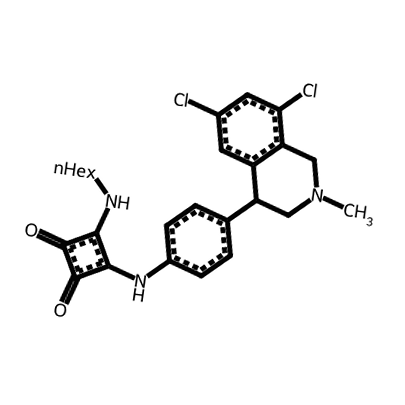 CCCCCCNc1c(Nc2ccc(C3CN(C)Cc4c(Cl)cc(Cl)cc43)cc2)c(=O)c1=O